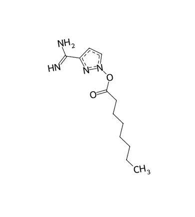 CCCCCCCC(=O)On1ccc(C(=N)N)n1